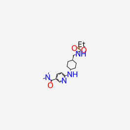 CCS(=O)(=O)NC[C@H]1CC[C@H](Nc2ccc(C(=O)N(C)C)cn2)CC1